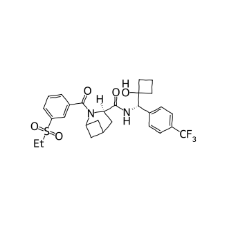 CCS(=O)(=O)c1cccc(C(=O)N2C3CC(C3)C[C@@H]2C(=O)N[C@@H](c2ccc(C(F)(F)F)cc2)C2(O)CCC2)c1